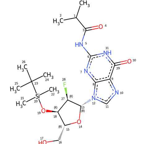 CC(C)C(=O)Nc1nc2c(ncn2[C@@H]2O[C@H](CO)[C@@H](O[Si](C)(C)C(C)(C)C)[C@H]2F)c(=O)[nH]1